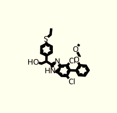 CCSc1ccc(C(CO)c2nc3c(Cl)c(-c4ccccc4OCOC)c(Cl)cc3[nH]2)cc1